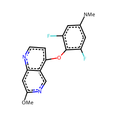 CNc1cc(F)c(Oc2ccnc3cc(OC)ncc23)c(F)c1